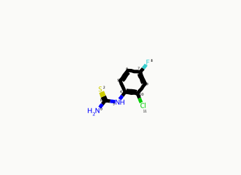 NC(=S)Nc1ccc(F)cc1Cl